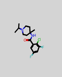 CC(C)N1CCC(C)(NC(=O)c2cc(F)cc(F)c2Cl)CC1